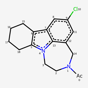 CC(=O)N1CCn2c3c(c4cc(Cl)cc(c42)C1)CCCC3